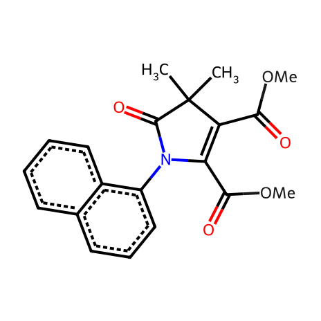 COC(=O)C1=C(C(=O)OC)C(C)(C)C(=O)N1c1cccc2ccccc12